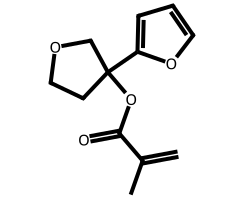 C=C(C)C(=O)OC1(c2ccco2)CCOC1